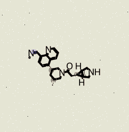 C/N=C\c1ccc([C@H]2C[C@@H](C)CN(C(=O)C[C@H]3[C@@H]4CNC[C@@H]43)C2)c2cccnc12